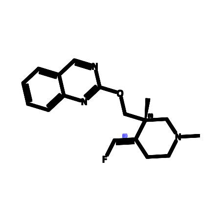 CN1CC/C(=C\F)[C@](C)(COc2ncc3ccccc3n2)C1